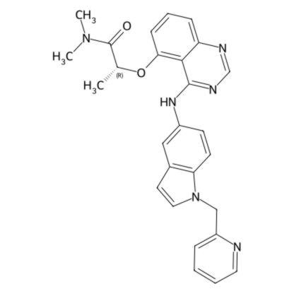 C[C@@H](Oc1cccc2ncnc(Nc3ccc4c(ccn4Cc4ccccn4)c3)c12)C(=O)N(C)C